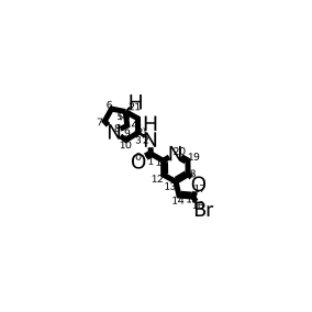 O=C(N[C@@H]1C[C@@H]2CCN(C2)C1)c1cc2cc(Br)oc2cn1